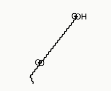 CCCC/C=C\CCCCCCCC(=O)OCCCCCCCCCCCCCCCCCCCCCCCCCCCCCCC(=O)O